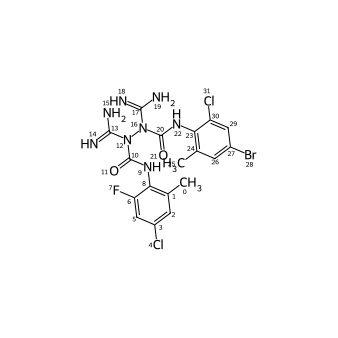 Cc1cc(Cl)cc(F)c1NC(=O)N(C(=N)N)N(C(=N)N)C(=O)Nc1c(C)cc(Br)cc1Cl